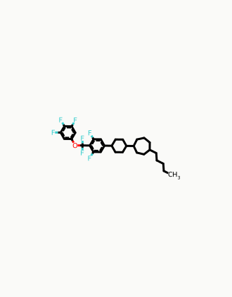 CCCCCC1CCCC(C2CCC(c3cc(F)c(C(F)(F)Oc4cc(F)c(F)c(F)c4)c(F)c3)CC2)CC1